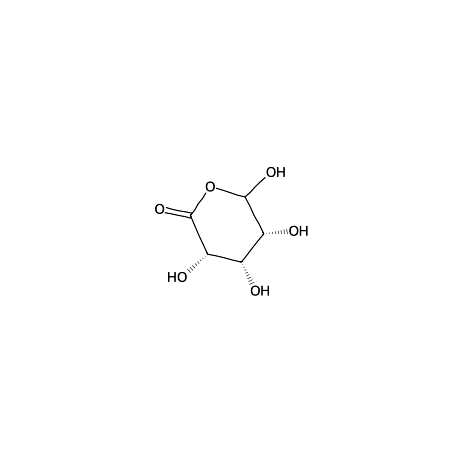 O=C1OC(O)[C@H](O)[C@H](O)[C@@H]1O